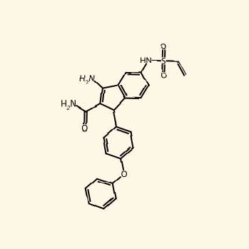 C=CS(=O)(=O)Nc1ccc2c(c1)C(N)=C(C(N)=O)C2c1ccc(Oc2ccccc2)cc1